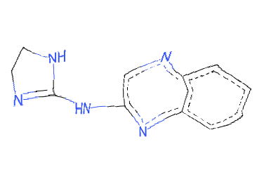 c1ccc2nc(NC3=NCCN3)cnc2c1